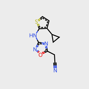 N#CCc1nc(Nc2sccc2C2CC2)no1